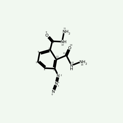 [N-]=[N+]=Nc1cccc(C(=O)NN)c1C(=O)NN